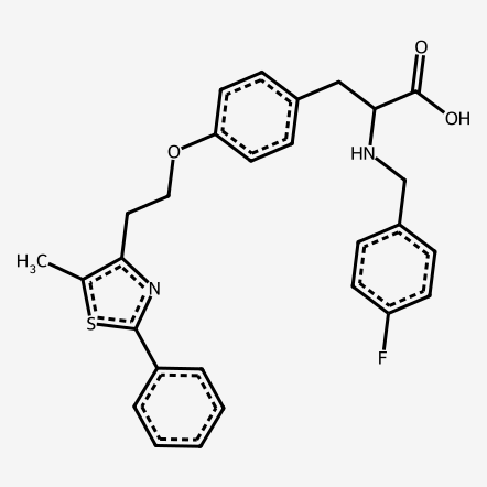 Cc1sc(-c2ccccc2)nc1CCOc1ccc(CC(NCc2ccc(F)cc2)C(=O)O)cc1